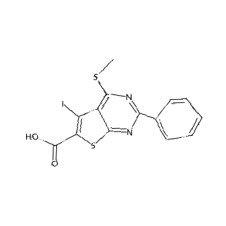 CSc1nc(-c2ccccc2)nc2sc(C(=O)O)c(I)c12